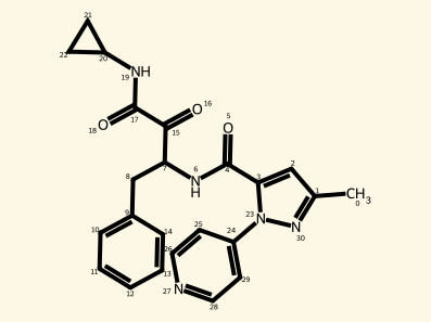 Cc1cc(C(=O)NC(Cc2ccccc2)C(=O)C(=O)NC2CC2)n(-c2ccncc2)n1